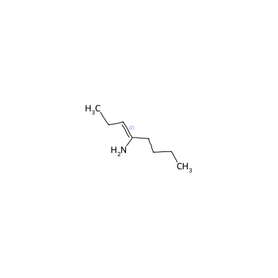 CC/C=C(\N)CCCC